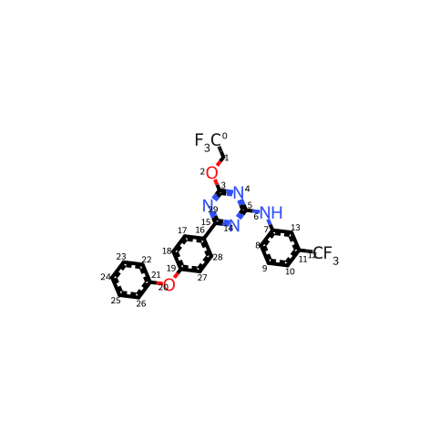 FC(F)(F)COc1nc(Nc2cccc(C(F)(F)F)c2)nc(-c2ccc(Oc3ccccc3)cc2)n1